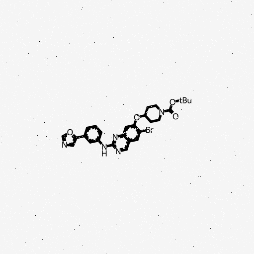 CC(C)(C)OC(=O)N1CCC(Oc2cc3nc(Nc4cccc(-c5cnco5)c4)ncc3cc2Br)CC1